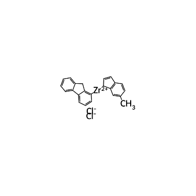 Cc1ccc2c(c1)[CH]([Zr+2][c]1cccc3c1Cc1ccccc1-3)C=C2.[Cl-].[Cl-]